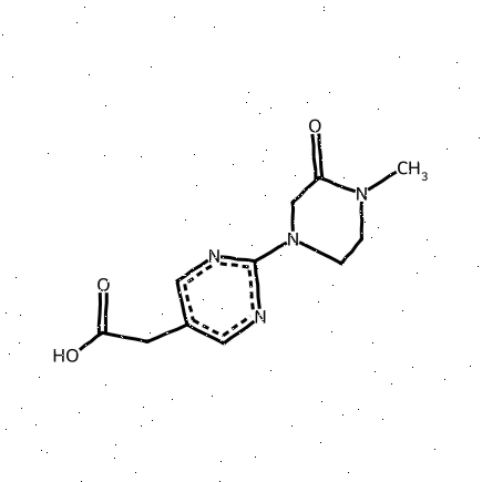 CN1CCN(c2ncc(CC(=O)O)cn2)CC1=O